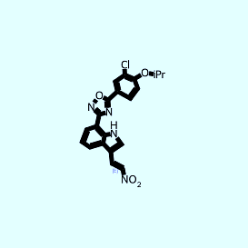 CC(C)Oc1ccc(-c2nc(-c3cccc4c(/C=C/[N+](=O)[O-])c[nH]c34)no2)cc1Cl